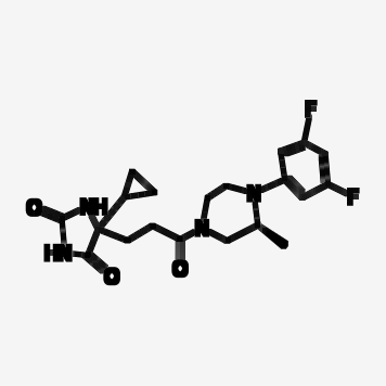 C[C@H]1CN(C(=O)CCC2(C3CC3)NC(=O)NC2=O)CCN1c1cc(F)cc(F)c1